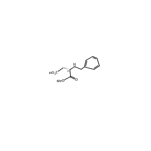 COC(=O)[C@H](CC(=O)O)NCc1ccccc1